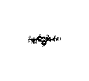 CCN1CC(N2CC(F)(C(=O)N(Cc3ccc(-c4nnc(C(F)F)o4)cn3)c3ccccc3)C2)C1